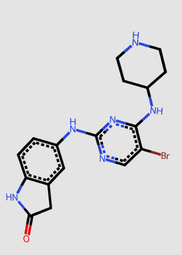 O=C1Cc2cc(Nc3ncc(Br)c(NC4CCNCC4)n3)ccc2N1